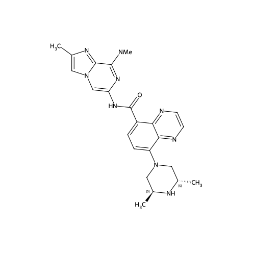 CNc1nc(NC(=O)c2ccc(N3C[C@H](C)N[C@@H](C)C3)c3nccnc23)cn2cc(C)nc12